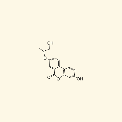 CC(CO)Oc1ccc2c(c1)c(=O)oc1cc(O)ccc12